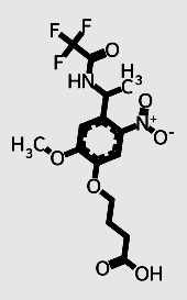 COc1cc(C(C)NC(=O)C(F)(F)F)c([N+](=O)[O-])cc1OCCCC(=O)O